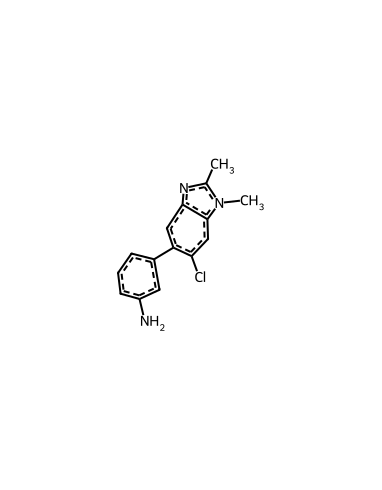 Cc1nc2cc(-c3cccc(N)c3)c(Cl)cc2n1C